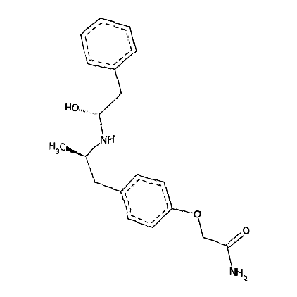 C[C@H](Cc1ccc(OCC(N)=O)cc1)N[C@H](O)Cc1ccccc1